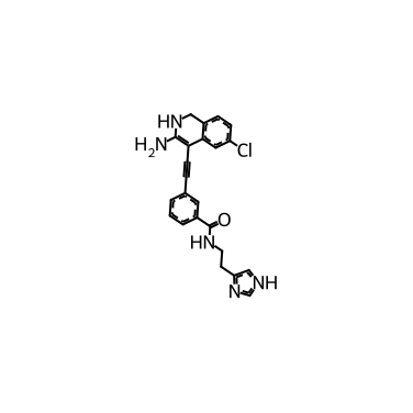 NC1=C(C#Cc2cccc(C(=O)NCCc3c[nH]cn3)c2)c2cc(Cl)ccc2CN1